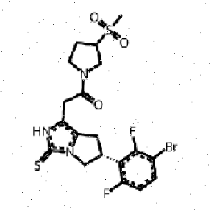 CS(=O)(=O)C1CCN(C(=O)Cc2[nH]c(=S)n3c2C[C@H](c2c(F)ccc(Br)c2F)C3)C1